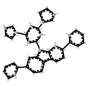 c1ccc(-c2ccc3c4ccc(-c5ccccn5)nc4n(-c4nc(-n5ccnc5)nc(-n5ccnc5)n4)c3c2)nc1